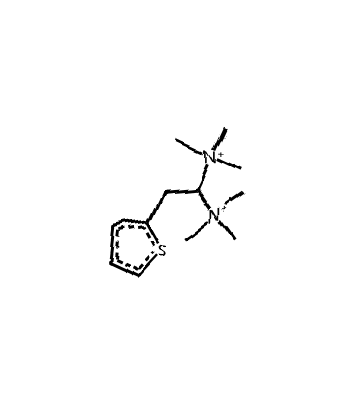 C[N+](C)(C)C(Cc1cccs1)[N+](C)(C)C